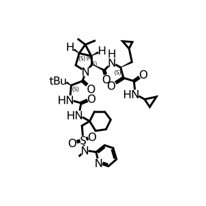 CN(c1ccccn1)S(=O)(=O)CC1(NC(=O)N[C@H](C(=O)N2C[C@H]3[C@@H]([C@H]2C(=O)N[C@@H](CC2CC2)C(=O)C(=O)NC2CC2)C3(C)C)C(C)(C)C)CCCCC1